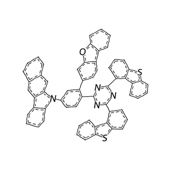 c1ccc2cc3c(cc2c1)c1ccccc1n3-c1ccc(-c2nc(-c3cccc4sc5ccccc5c34)nc(-c3cccc4sc5ccccc5c34)n2)c(-c2ccc3c(c2)oc2ccccc23)c1